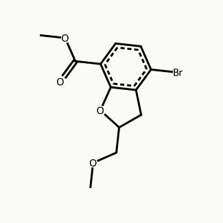 COCC1Cc2c(Br)ccc(C(=O)OC)c2O1